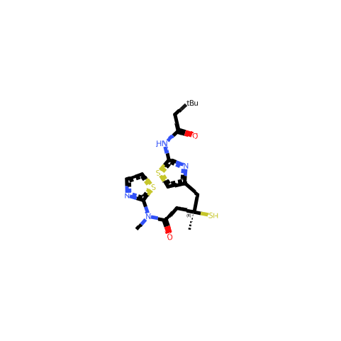 CN(C(=O)C[C@](C)(S)Cc1csc(NC(=O)CC(C)(C)C)n1)c1nccs1